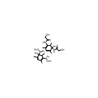 CC(=O)C1(NC(=O)CO)C(I)=CC(I)=C(NC(=O)CO)C1I.CC(=O)ON(C(C)=O)C1=C(I)C=C(I)C(C(C)=O)(N(OC(C)=O)C(C)=O)C1I